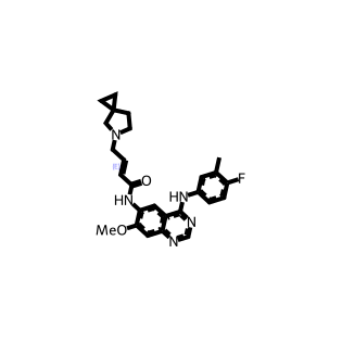 COc1cc2ncnc(Nc3ccc(F)c(C)c3)c2cc1NC(=O)/C=C/CN1CCC2(CC2)C1